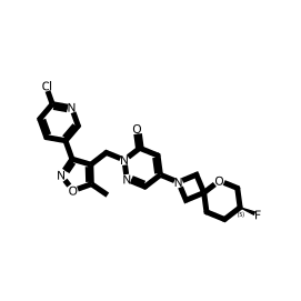 Cc1onc(-c2ccc(Cl)nc2)c1Cn1ncc(N2CC3(CC[C@H](F)CO3)C2)cc1=O